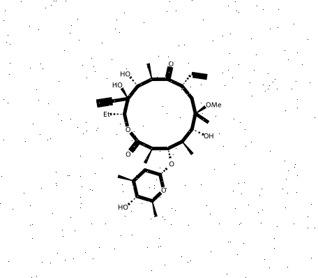 C#C[C@]1(O)[C@H](O)[C@@H](C)C(=O)[C@H](C=C)C[C@@](C)(OC)[C@H](O)[C@@H](C)[C@H](O[C@H]2C[C@H](C)[C@@H](O)[C@H](C)O2)[C@@H](C)C(=O)O[C@@H]1CC